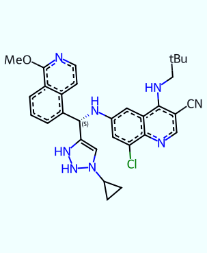 COc1nccc2c([C@H](Nc3cc(Cl)c4ncc(C#N)c(NCC(C)(C)C)c4c3)C3=CN(C4CC4)NN3)cccc12